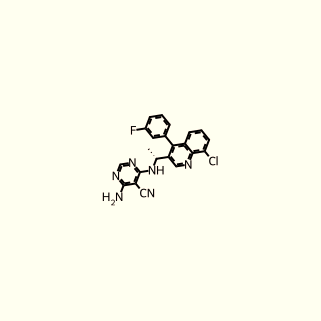 C[C@@H](Nc1ncnc(N)c1C#N)c1cnc2c(Cl)cccc2c1-c1cccc(F)c1